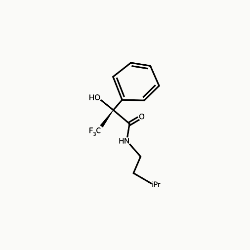 CC(C)CCNC(=O)[C@](O)(c1ccccc1)C(F)(F)F